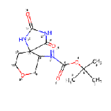 CC(C)(C)OC(=O)NC1COCCC12NC(=O)NC2=O